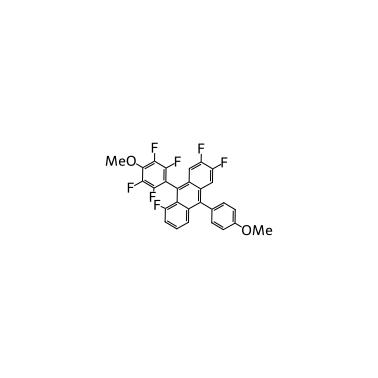 COc1ccc(-c2c3cc(F)c(F)cc3c(-c3c(F)c(F)c(OC)c(F)c3F)c3c(F)cccc23)cc1